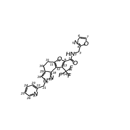 O=C(NCc1ncco1)c1oc2c(c1C(F)(F)F)-c1nn(Cc3ccccn3)cc1CC2